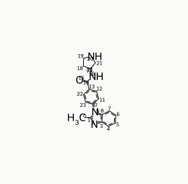 Cc1nc2ccccc2n1-c1ccc(C(=O)N[C@H]2CCNC2)cc1